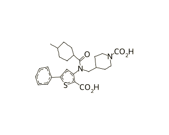 CC1CCC(C(=O)N(CC2CCN(C(=O)O)CC2)c2cc(-c3ccccc3)sc2C(=O)O)CC1